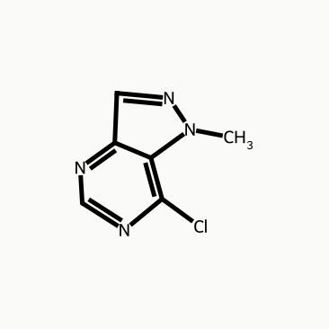 Cn1ncc2ncnc(Cl)c21